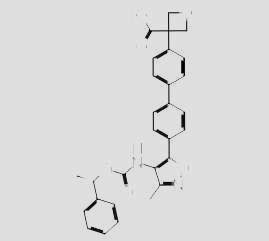 Cc1noc(-c2ccc(-c3ccc(C4(C(=O)O)COC4)cc3)cc2)c1NC(=O)O[C@H](C)c1ccccc1